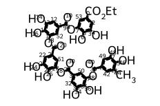 CCOC(=O)c1cc(O)c(O)c(OC(=O)c2cc(O)c(O)c(OC(=O)c3cc(O)c(O)c(OC(=O)c4cc(O)c(O)c(OC(=O)c5cc(C)c(O)c(O)c5)c4)c3)c2)c1